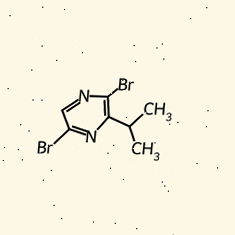 CC(C)c1nc(Br)cnc1Br